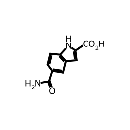 NC(=O)c1ccc2[nH]c(C(=O)O)cc2c1